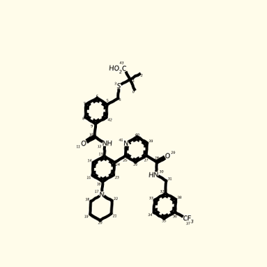 CC(C)(SCc1cccc(C(=O)Nc2ccc(N3CCCCC3)cc2-c2cc(C(=O)NCc3cccc(C(F)(F)F)c3)ccn2)c1)C(=O)O